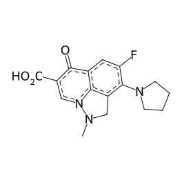 CN1Cc2c(N3CCCC3)c(F)cc3c(=O)c(C(=O)O)cn1c23